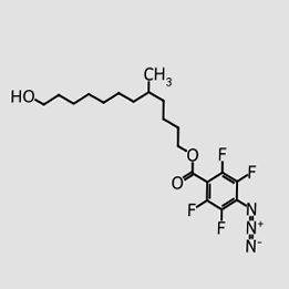 CC(CCCCCCCO)CCCCOC(=O)c1c(F)c(F)c(N=[N+]=[N-])c(F)c1F